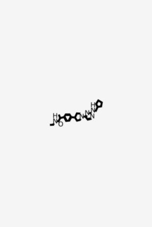 CCNC(=O)C(C)c1ccc(C2CCN(c3ccnc(NCC4CCCC4)n3)CC2)cc1